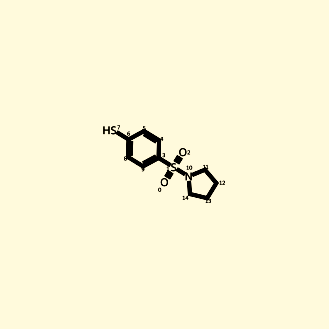 O=S(=O)(c1ccc(S)cc1)N1CCCC1